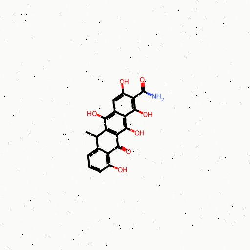 CC1c2cccc(O)c2C(=O)c2c1c(O)c1cc(O)c(C(N)=O)c(O)c1c2O